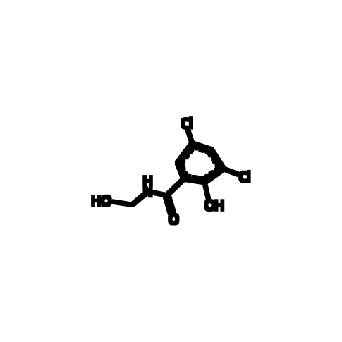 O=C(NCO)c1cc(Cl)cc(Cl)c1O